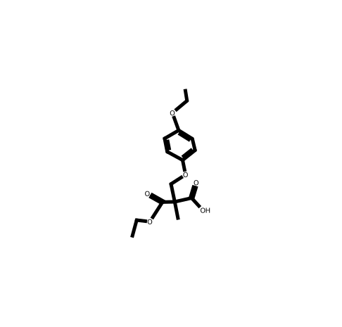 CCOC(=O)C(C)(COc1ccc(OCC)cc1)C(=O)O